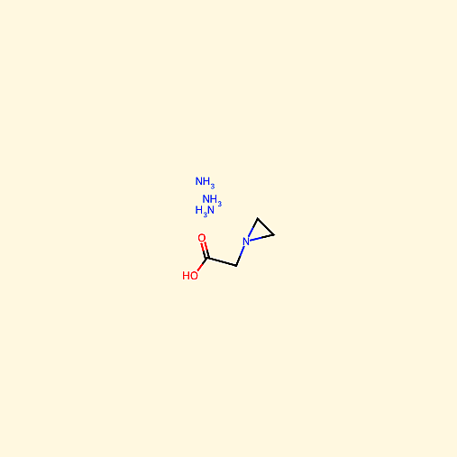 N.N.N.O=C(O)CN1CC1